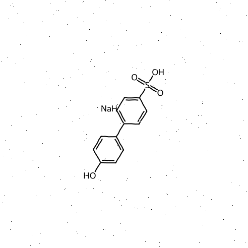 O=S(=O)(O)c1ccc(-c2ccc(O)cc2)cc1.[NaH]